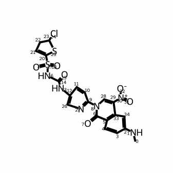 CNc1ccc2c(=O)n(-c3ccc(NC(=O)NS(=O)(=O)C4=CCC(Cl)S4)cn3)cc([N+](=O)[O-])c2c1